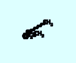 C=C.CCCCCCCCCOOc1ccccc1